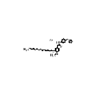 CCCCCCCCCCCCCCOc1cc(CC(=O)Nc2ccc(C[n+]3ccsc3)cc2)ccc1OC.[Br-]